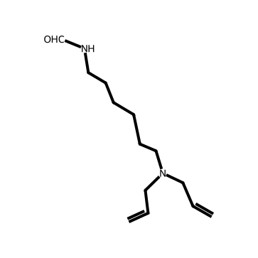 C=CCN(CC=C)CCCCCCNC=O